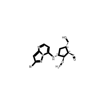 O=P[C@@H]1[C@@H](CO)C[C@@H](Nc2ccnc3cc(Br)nn23)[C@@H]1OP